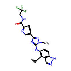 Cn1nc(-c2ccc(C(=O)NCC(F)(F)F)nc2)nc1Nc1ccc2[nH]ncc2c1C1CC1